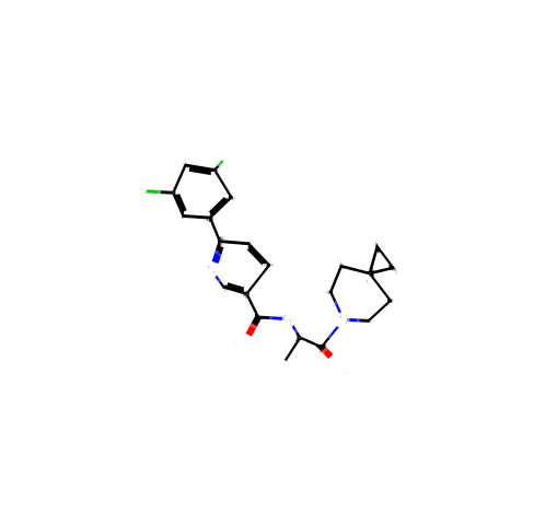 CC(NC(=O)c1ccc(-c2cc(Cl)cc(Cl)c2)nc1)C(=O)N1CCC2(CC1)CC2